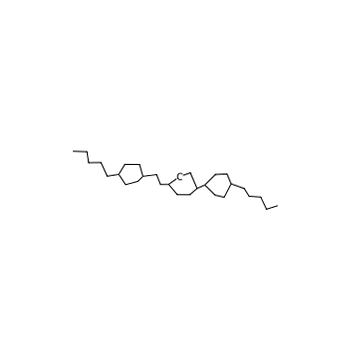 CCCCCC1CCC(CCC2CCC(C3CCC(CCCCC)CC3)CC2)CC1